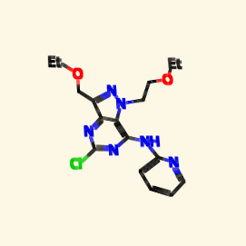 CCOCCn1nc(COCC)c2nc(Cl)nc(Nc3ccccn3)c21